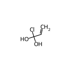 C=CC(O)(O)Cl